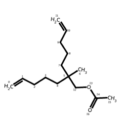 C=CCCCC(C)(CCCC=C)COC(C)=O